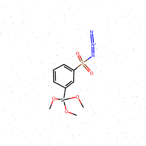 CO[Si](OC)(OC)c1cccc(S(=O)(=O)N=[N+]=[N-])c1